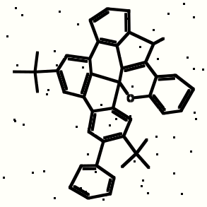 CC1C2=C3c4c(cccc41)-c1cc(C(C)(C)C)cc4c1C3(Oc1ccccc12)c1cc(C(C)(C)C)c(-c2ccccc2)cc1-4